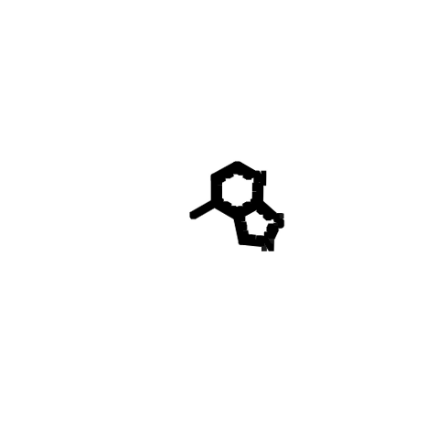 Cc1ccnc2sncc12